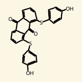 O=C1c2cccc(Sc3ccc(O)cc3)c2C(=O)c2c(Sc3ccc(O)cc3)cccc21